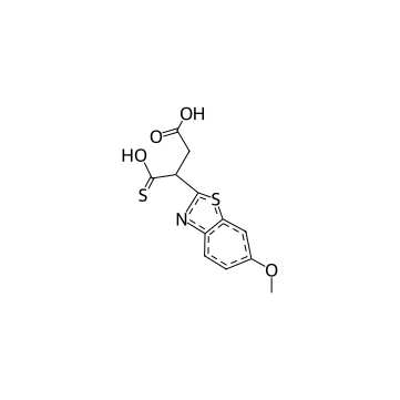 COc1ccc2nc(C(CC(=O)O)C(O)=S)sc2c1